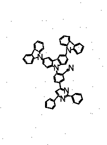 N#Cc1cc(-c2cc(-c3ccccc3)nc(-c3ccccc3)n2)ccc1-n1c2ccc(-n3c4ccccc4c4ccccc43)cc2c2cc(-n3c4ccccc4c4ccccc43)ccc21